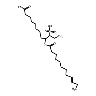 CC/C=C/CCCCCCCC(=O)OC(CCCCCCCC(=O)O)C(CC)S(=O)(=O)O